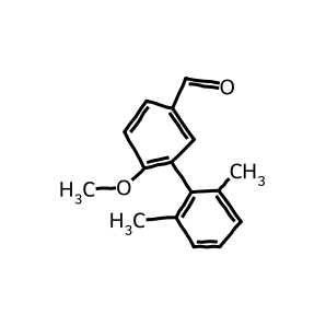 COc1ccc(C=O)cc1-c1c(C)cccc1C